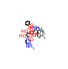 CO[C@]1(CO[P@@](=O)(N[C@H](C)C(=O)OC(C)C)Oc2ccccc2)O[C@@H](n2ccc(N)nc2=O)[C@H](O)[C@@H]1O